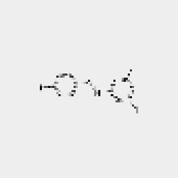 Ic1ccc(/N=N/c2cc(I)cc(I)c2)cc1